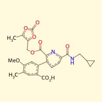 COc1cc(-c2ccc(C(=O)NCC3CC3)nc2C(=O)OCc2oc(=O)oc2C)c(C(=O)O)cc1C